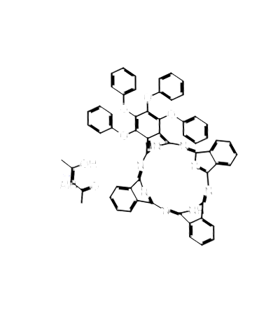 CC(=O)/C=C(/C)O.[AlH3].c1ccc(Oc2c(Oc3ccccc3)c(Oc3ccccc3)c3c4nc5nc(nc6[nH]c(nc7nc(nc([nH]4)c3c2Oc2ccccc2)-c2ccccc2-7)c2ccccc62)-c2ccccc2-5)cc1